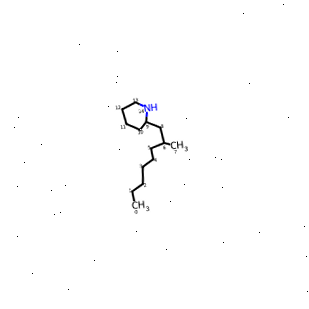 CCCCCCC(C)CC1CCCCN1